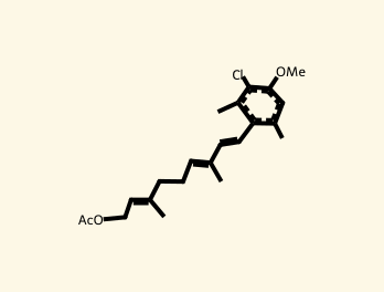 COc1cc(C)c(/C=C/C(C)=C/CC/C(C)=C/COC(C)=O)c(C)c1Cl